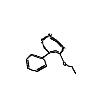 CCOc1[c]nsc1-c1ccccc1